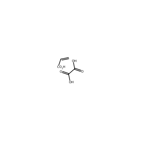 C=CC(=O)O.O=C(O)C(=O)O